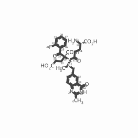 Cc1nc2ccc(CN(C)N(C(=O)CC[C@H](N)C(=O)O)[C@](CCC(=O)O)(C(=O)O)C(=O)c3ccccc3F)cc2c(=O)[nH]1